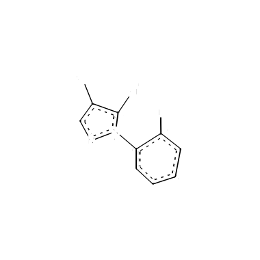 CC(=O)c1cnn(-c2ccccc2F)c1C